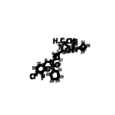 CC1(C)N=C(C23CC(N(Cc4ccc(Cl)c(F)c4)S(=O)(=O)c4ccccc4)(C2)C3)N[C@H]1C(=O)NC12CC(C1)C2